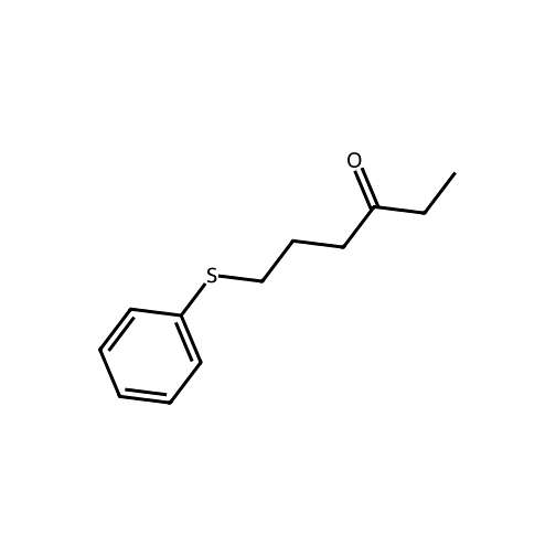 CCC(=O)CCCSc1ccccc1